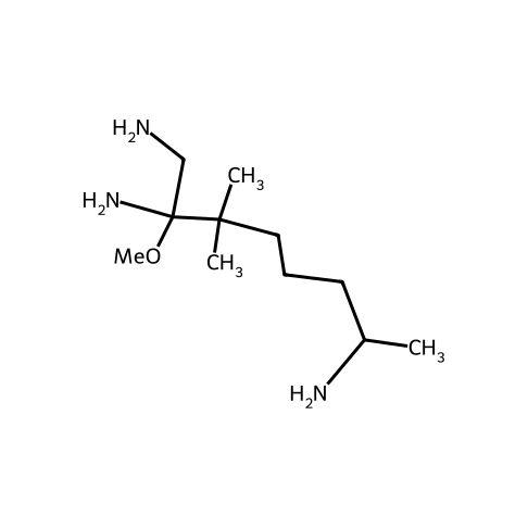 COC(N)(CN)C(C)(C)CCCC(C)N